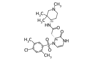 Cc1cc(S(=O)(=O)N2C=CNC(=O)[C@H]2CC(=O)N[C@H]2CCN(C)CC2(C)C)c(C)cc1Cl